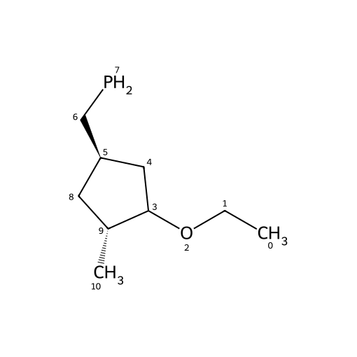 CCOC1C[C@H](CP)C[C@H]1C